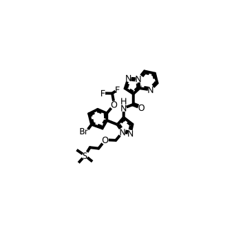 CS(C)(C)CCOCn1ncc(NC(=O)c2cnn3cccnc23)c1-c1cc(Br)ccc1OC(F)F